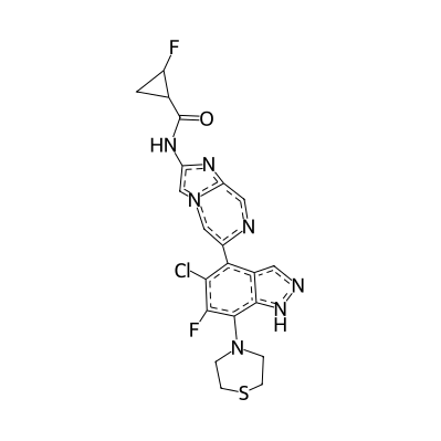 O=C(Nc1cn2cc(-c3c(Cl)c(F)c(N4CCSCC4)c4[nH]ncc34)ncc2n1)C1CC1F